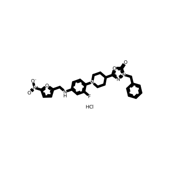 Cl.O=c1oc(C2CCN(c3ccc(NCc4ccc([N+](=O)[O-])o4)cc3F)CC2)nn1Cc1ccccc1